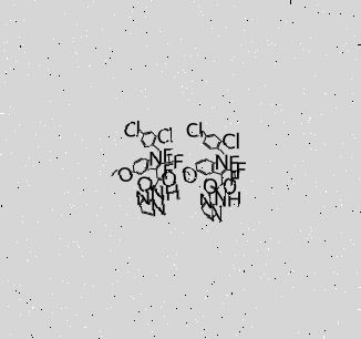 CCOc1ccc2c(c1)c(C(=O)C(=O)Nc1ncccn1)c(C(F)(F)F)n2Cc1ccc(Cl)cc1Cl.COc1ccc2c(c1)c(C(=O)C(=O)Nc1ncccn1)c(C(F)(F)F)n2Cc1ccc(Cl)cc1Cl